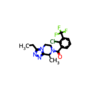 CCc1nnc2n1CCN(C(=O)c1cccc(C(F)(F)F)c1Cl)[C@H]2C